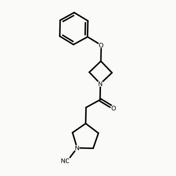 N#CN1CCC(CC(=O)N2CC(Oc3ccccc3)C2)C1